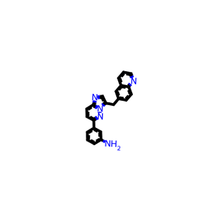 Nc1cccc(-c2ccc3ncc(Cc4ccc5ncccc5c4)n3n2)c1